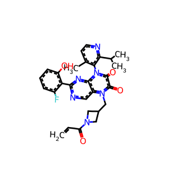 C=CC(=O)N1CC(Cn2c(=O)c(=O)n(-c3c(C)ccnc3C(C)C)c3nc(-c4c(O)cccc4F)ncc32)C1